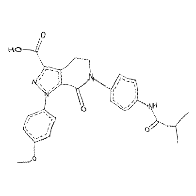 COc1ccc(-n2nc(C(=O)O)c3c2C(=O)N(c2ccc(NC(=O)C(C)C)cc2)CC3)cc1